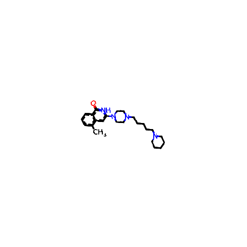 Cc1cccc2c(=O)[nH]c(N3CCN(CCCCCN4CCCCC4)CC3)cc12